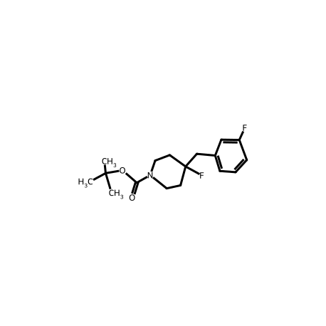 CC(C)(C)OC(=O)N1CCC(F)(Cc2cccc(F)c2)CC1